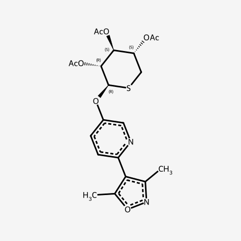 CC(=O)O[C@@H]1[C@@H](OC(C)=O)[C@H](OC(C)=O)CS[C@H]1Oc1ccc(-c2c(C)noc2C)nc1